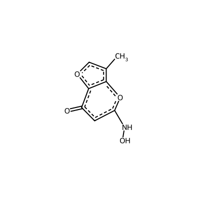 Cc1coc2c(=O)cc(NO)oc12